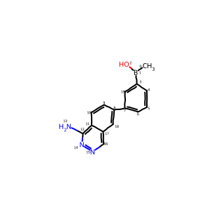 CB(O)c1cccc(-c2ccc3c(N)nncc3c2)c1